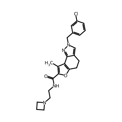 Cc1c(C(=O)NCCN2CCC2)oc2c1-c1nn(Cc3cccc(Cl)c3)cc1CC2